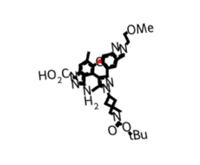 COCCn1cc2cc(-c3nn(C4CC5(C4)CN(C(=O)OC(C)(C)C)C5)c(C)c3-c3c(Cl)c(C)cc4c3c(N)nn4C(=O)O)ccc2n1